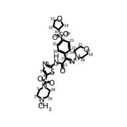 CN1CCN(S(=O)(=O)c2cnc(NC(=O)/C(=N/N3CCOCC3)c3ccc(S(=O)(=O)[C@H]4CCOC4)cc3)s2)CC1